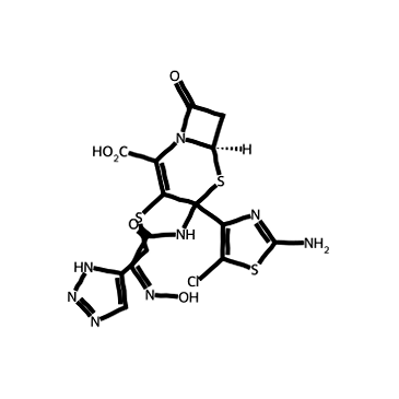 Nc1nc(C2(NC(=O)/C=N\O)S[C@@H]3CC(=O)N3C(C(=O)O)=C2SCc2cnn[nH]2)c(Cl)s1